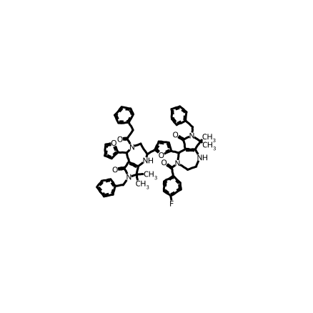 CC1(C)C2=C(C(=O)N1Cc1ccccc1)C(c1ccco1)N(C(=O)Cc1ccccc1)CC(c1ccc(C3C4=C(NCCN3C(=O)c3ccc(F)cc3)C(C)(C)N(Cc3ccccc3)C4=O)o1)N2